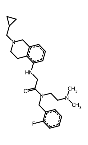 CN(C)CCN(Cc1ccccc1F)C(=O)CNc1cccc2c1CCN(CC1CC1)C2